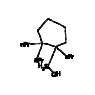 CCCC1(CCC)CCCCC1(CCC)[SiH2]O